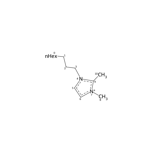 CCCCCCCCCn1cc[n+](C)c1C